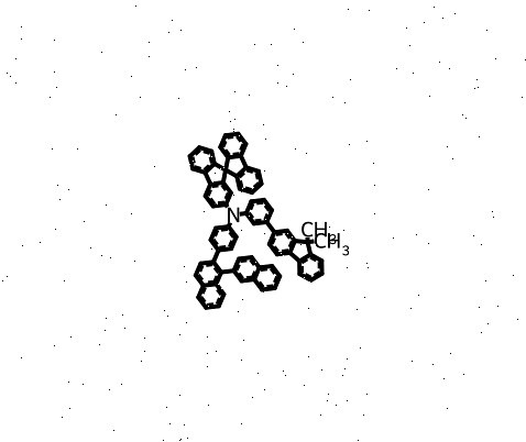 CC1(C)c2ccccc2-c2ccc(-c3cccc(N(c4ccc(-c5ccc6ccccc6c5-c5ccc6ccccc6c5)cc4)c4ccc5c(c4)C4(c6ccccc6-c6ccccc64)c4ccccc4-5)c3)cc21